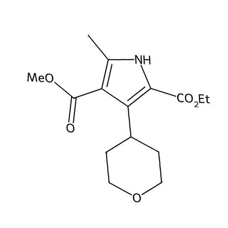 CCOC(=O)c1[nH]c(C)c(C(=O)OC)c1C1CCOCC1